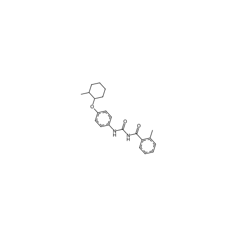 Cc1ccccc1C(=O)NC(=O)Nc1ccc(OC2CCCCC2C)cc1